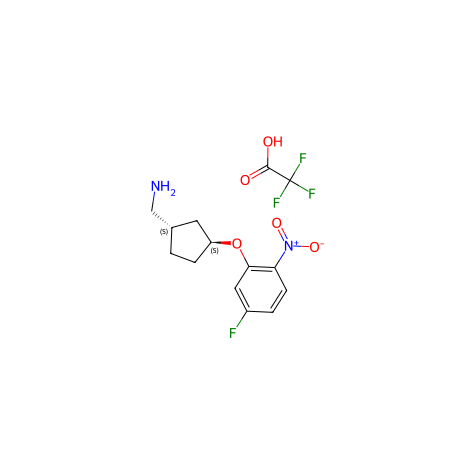 NC[C@H]1CC[C@H](Oc2cc(F)ccc2[N+](=O)[O-])C1.O=C(O)C(F)(F)F